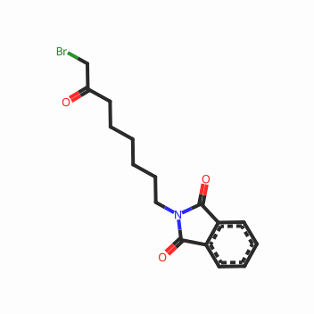 O=C(CBr)CCCCCCN1C(=O)c2ccccc2C1=O